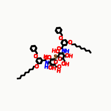 CCCCCCCCCOc1cc(OCc2ccccc2)cc(C(=O)N[C@@H]2[C@@H](O)[C@@H](CO)O[C@@H](S[C@@H]3O[C@H](CO)[C@H](O)[C@@H](NC(=O)c4cc(OCCCCCCCCC)cc(OCc5ccccc5)c4)[C@H]3O)[C@@H]2O)c1